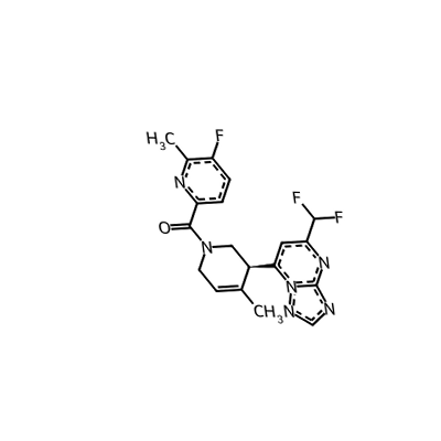 CC1=CCN(C(=O)c2ccc(F)c(C)n2)C[C@H]1c1cc(C(F)F)nc2ncnn12